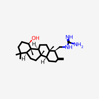 C=C1CC[C@@H]2[C@](C)(CC[C@H]3[C@@]2(C)CC[C@H]2C(C)(C)CC[C@@H](O)[C@@]23C)[C@H]1CNC(=N)N